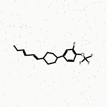 CCC=CC=CC1CCC(c2ccc(OC(F)(F)F)c(F)c2)CC1